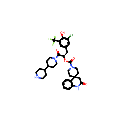 O=C1CC2(CCN(C(=O)O[C@H](Cc3cc(Cl)c(O)c(C(F)(F)F)c3)C(=O)N3CCC(C4CCNCC4)CC3)CC2)c2ccccc2N1